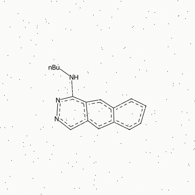 CCCCNc1nncc2cc3ccccc3cc12